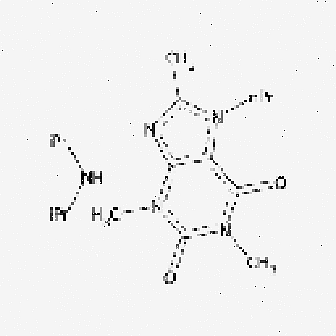 CC(C)NC(C)C.CCCn1c(C)nc2c1c(=O)n(C)c(=O)n2C